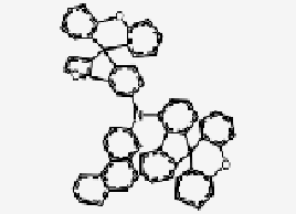 c1ccc2c(c1)Oc1ccccc1C21c2ccccc2-c2cc(N(c3ccc4c(ccc5ccccc54)c3)c3cccc4c3-c3ccccc3C43c4ccccc4Oc4ccccc43)ccc21